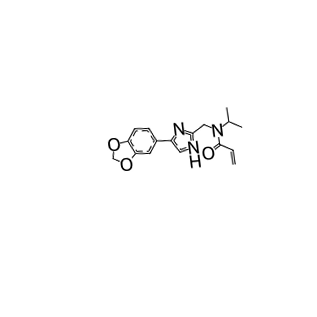 C=CC(=O)N(Cc1nc(-c2ccc3c(c2)OCO3)c[nH]1)C(C)C